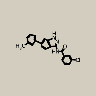 Cc1cccc(-c2ccc3c(NC(=O)c4cccc(Cl)c4)n[nH]c3c2)c1